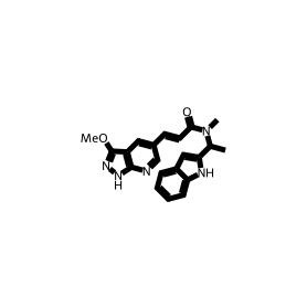 COc1n[nH]c2ncc(C=CC(=O)N(C)C(C)c3cc4ccccc4[nH]3)cc12